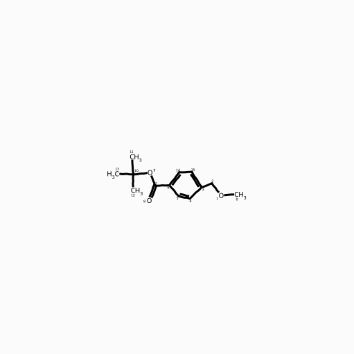 COCc1ccc(C(=O)OC(C)(C)C)cc1